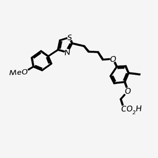 COc1ccc(-c2csc(CCCCOc3ccc(OCC(=O)O)c(C)c3)n2)cc1